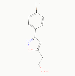 OCCc1cc(-c2ccc(Br)cc2)no1